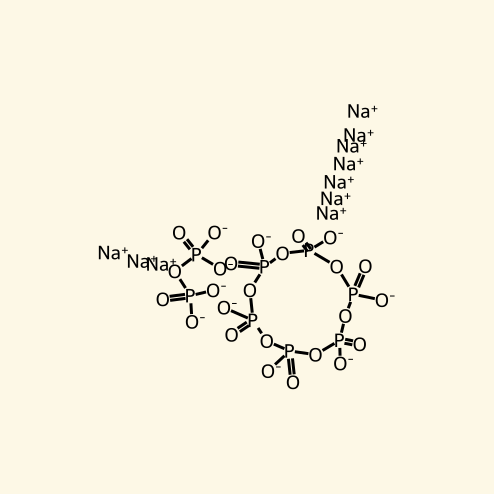 O=P([O-])([O-])OP(=O)([O-])[O-].O=P1([O-])OP(=O)([O-])OP(=O)([O-])OP(=O)([O-])OP(=O)([O-])OP(=O)([O-])O1.[Na+].[Na+].[Na+].[Na+].[Na+].[Na+].[Na+].[Na+].[Na+].[Na+]